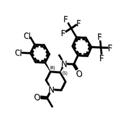 CC(=O)N1CC[C@H](N(C)C(=O)c2cc(C(F)(F)F)cc(C(F)(F)F)c2)[C@H](c2ccc(Cl)c(Cl)c2)C1